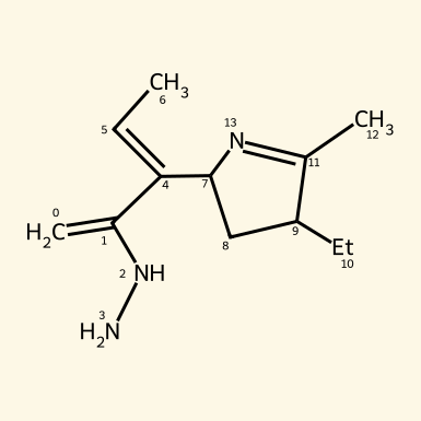 C=C(NN)/C(=C/C)C1CC(CC)C(C)=N1